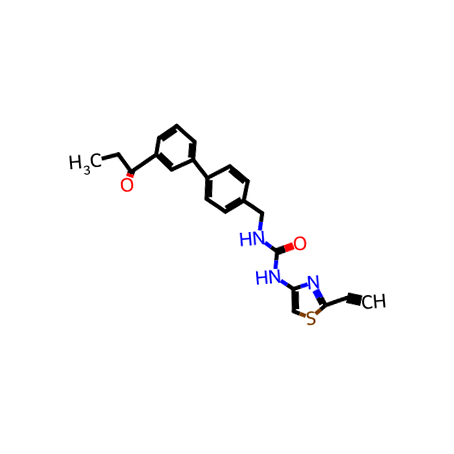 C#Cc1nc(NC(=O)NCc2ccc(-c3cccc(C(=O)CC)c3)cc2)cs1